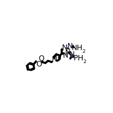 C/C(P)=N\n1nc(-c2cc[n+](CCCC(=O)OCc3ccccc3)cc2)cn/c1=N/N